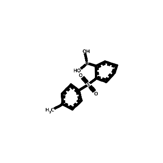 Cc1ccc(S(=O)(=O)c2ccccc2B(O)O)cc1